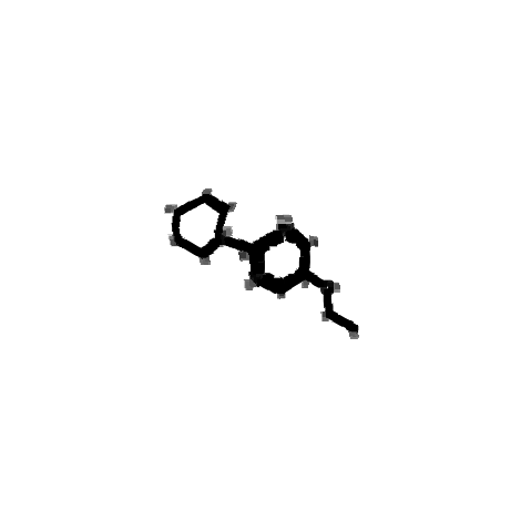 CCOc1cnc(N2CCCCC2)nc1